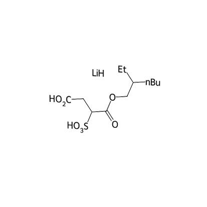 CCCCC(CC)COC(=O)C(CC(=O)O)S(=O)(=O)O.[LiH]